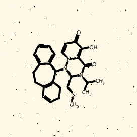 CSCC1N(C(C)C)C(=O)c2c(O)c(=O)ccn2N1C1C2=C(C=CCC2)CCc2ccccc21